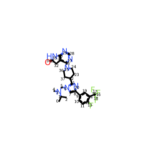 CC(C)N(C)Cn1cc(-c2ccc(F)c(C(F)(F)F)c2)nc1C1CCN(c2ncnc3c2CC(=O)N3)CC1